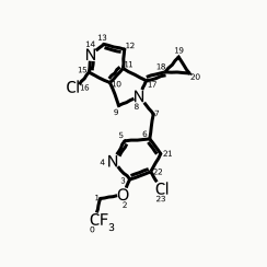 FC(F)(F)COc1ncc(CN2Cc3c(ccnc3Cl)C2=C2CC2)cc1Cl